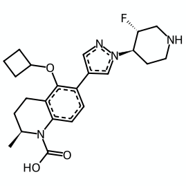 C[C@H]1CCc2c(ccc(-c3cnn([C@@H]4CCNC[C@H]4F)c3)c2OC2CCC2)N1C(=O)O